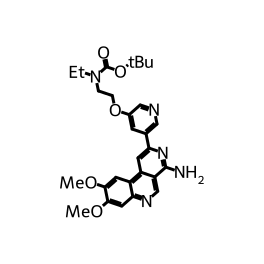 CCN(CCOc1cncc(-c2cc3c(cnc4cc(OC)c(OC)cc43)c(N)n2)c1)C(=O)OC(C)(C)C